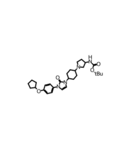 CC(C)(C)OC(=O)NC1CCN(C2CCC(n3ccn(-c4ccc(OC5CCCC5)cc4)c3=O)CC2)C1